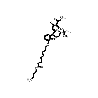 CCCCOC(=O)CCCCCCCOc1cccc2c3n(nc12)C[C@@H](C(C)(C)C)n1cc(C(=O)OC)c(=O)cc1-3